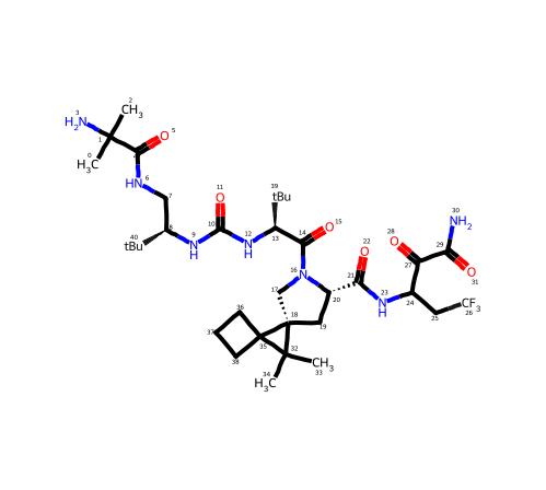 CC(C)(N)C(=O)NC[C@@H](NC(=O)N[C@H](C(=O)N1C[C@]2(C[C@H]1C(=O)NC(CC(F)(F)F)C(=O)C(N)=O)C(C)(C)C21CCC1)C(C)(C)C)C(C)(C)C